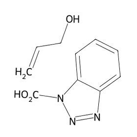 C=CCO.O=C(O)n1nnc2ccccc21